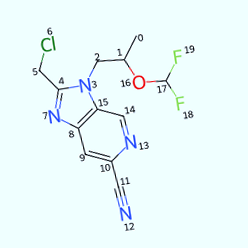 CC(Cn1c(CCl)nc2cc(C#N)ncc21)OC(F)F